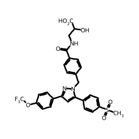 CS(=O)(=O)c1ccc(-c2cc(-c3ccc(OC(F)(F)F)cc3)nn2Cc2ccc(C(=O)NCC(O)C(=O)O)cc2)cc1